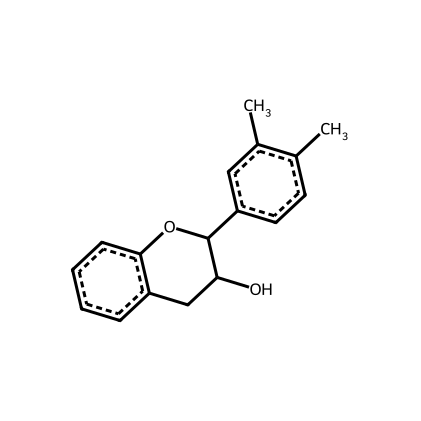 Cc1ccc(C2Oc3ccccc3CC2O)cc1C